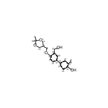 CC1(C)OCC(COc2ccc(-c3ccc(O)c(F)c3)cc2CO)CO1